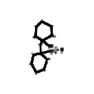 [H+].[H+].[SiH3]C1(CC2([SiH3])CCCCO2)CCCCO1